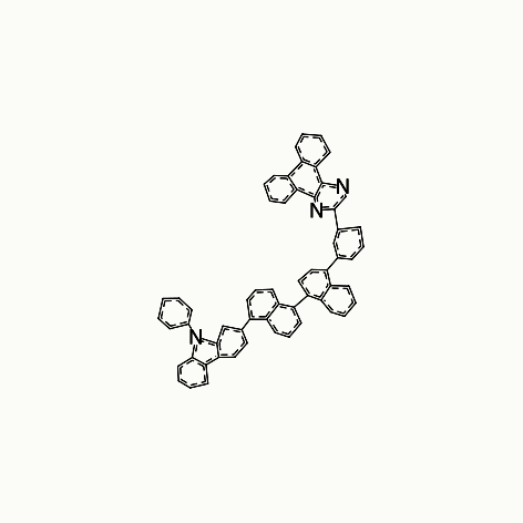 c1ccc(-n2c3ccccc3c3ccc(-c4cccc5c(-c6ccc(-c7cccc(-c8cnc9c%10ccccc%10c%10ccccc%10c9n8)c7)c7ccccc67)cccc45)cc32)cc1